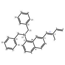 C=C/C(C)=C/c1ccc2cccc(N(Cc3ccccc3)Cc3ccccc3)c2c1